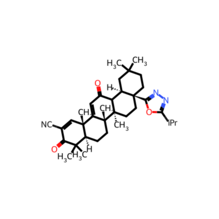 CC(C)c1nnc([C@]23CCC(C)(C)C[C@@H]2C2C(=O)C=C4[C@@]5(C)C=C(C#N)C(=O)C(C)(C)[C@@H]5CC[C@@]4(C)[C@]2(C)CC3)o1